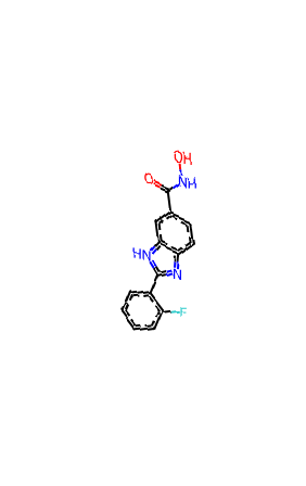 O=C(NO)c1ccc2nc(-c3ccccc3F)[nH]c2c1